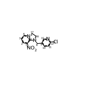 O=[N+]([O-])c1ccc[n+]2c1N(Cc1ccc(Cl)nc1)CC2